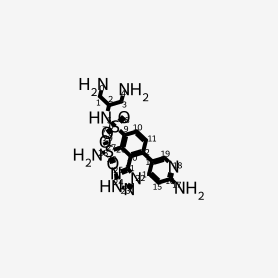 NCC(CN)NS(=O)(=O)c1ccc(-c2ccc(N)nc2)c(-c2nn[nH]n2)c1S(N)(=O)=O